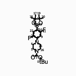 CC(C)(C)OC(=O)N1CCN(c2cc(F)c(B3OC(C)(C)C(C)(C)O3)cc2F)CC1